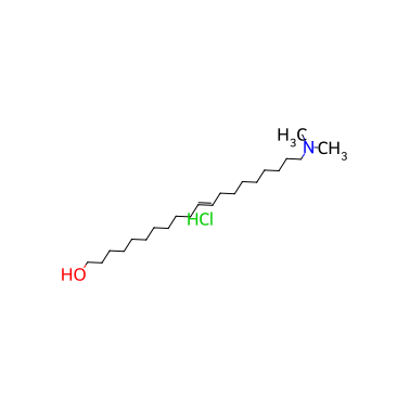 CN(C)CCCCCCCCC=CCCCCCCCCCCO.Cl